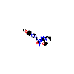 CCOc1ccc(N2CCN(CCn3c(=O)[nH]n4c5c(-c6ccco6)nc(CC6CC6)nc5nc34)CC2)cc1